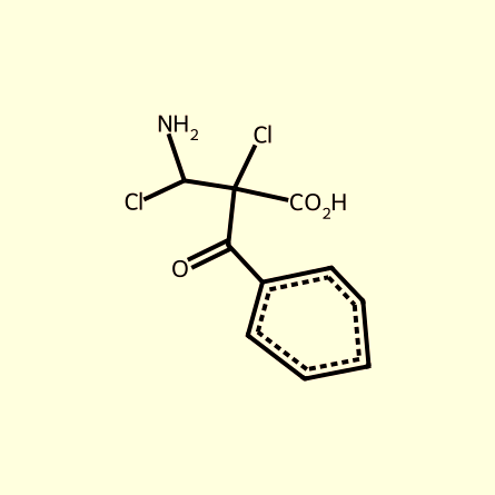 NC(Cl)C(Cl)(C(=O)O)C(=O)c1ccccc1